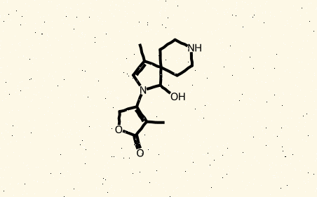 CC1=CN(C2=C(C)C(=O)OC2)C(O)C12CCNCC2